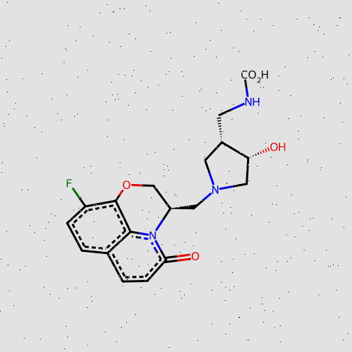 O=C(O)NC[C@H]1CN(C[C@@H]2COc3c(F)ccc4ccc(=O)n2c34)C[C@H]1O